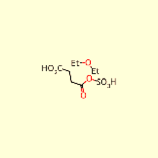 CCOCC.O=C(O)CCC(=O)OS(=O)(=O)O